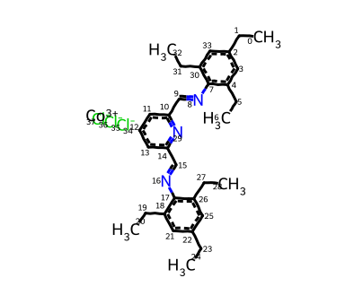 CCc1cc(CC)c(N=Cc2cccc(C=Nc3c(CC)cc(CC)cc3CC)n2)c(CC)c1.[Cl-].[Cl-].[Cl-].[Co+3]